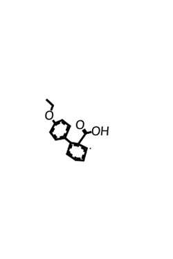 CCOc1ccc(-c2ccc[c]c2C(=O)O)cc1